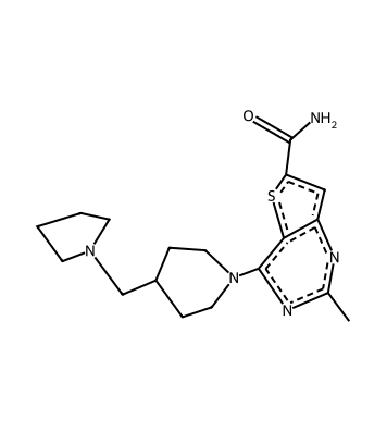 Cc1nc(N2CCC(CN3CCCC3)CC2)c2sc(C(N)=O)cc2n1